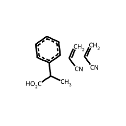 C=CC#N.C=CC#N.CC(C(=O)O)c1ccccc1